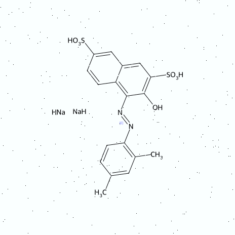 Cc1ccc(/N=N/c2c(O)c(S(=O)(=O)O)cc3cc(S(=O)(=O)O)ccc23)c(C)c1.[NaH].[NaH]